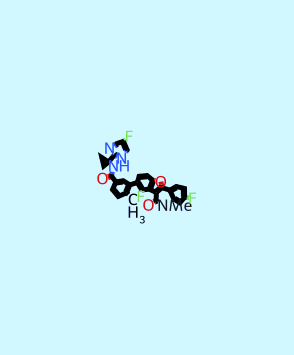 CNC(=O)c1c(-c2ccc(F)cc2)oc2ccc(-c3cc(C(=O)NC4(c5ncc(F)cn5)CC4)ccc3C)c(F)c12